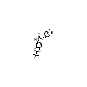 CC(C)(C)c1nc2ccc(NC(=O)SN3CC[N+](C)([O-])CC3)cc2o1